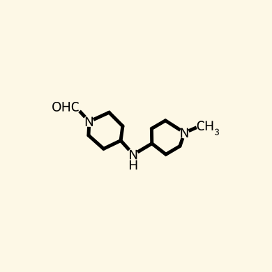 CN1CCC(NC2CCN(C=O)CC2)CC1